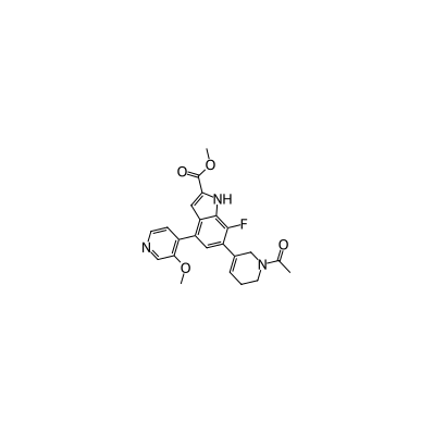 COC(=O)c1cc2c(-c3ccncc3OC)cc(C3=CCCN(C(C)=O)C3)c(F)c2[nH]1